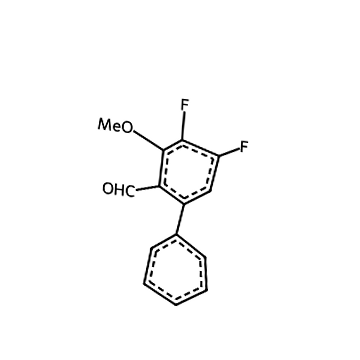 COc1c(F)c(F)cc(-c2ccccc2)c1C=O